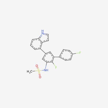 CS(=O)(=O)Nc1cc(-c2cccc3[nH]ccc23)cc(-c2ccc(F)cc2)c1F